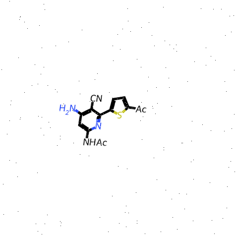 CC(=O)Nc1cc(N)c(C#N)c(-c2ccc(C(C)=O)s2)n1